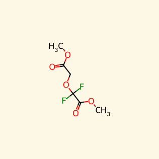 COC(=O)COC(F)(F)C(=O)OC